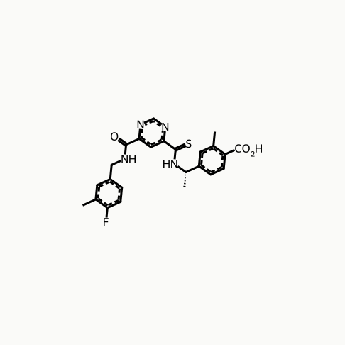 Cc1cc(CNC(=O)c2cc(C(=S)N[C@@H](C)c3ccc(C(=O)O)c(C)c3)ncn2)ccc1F